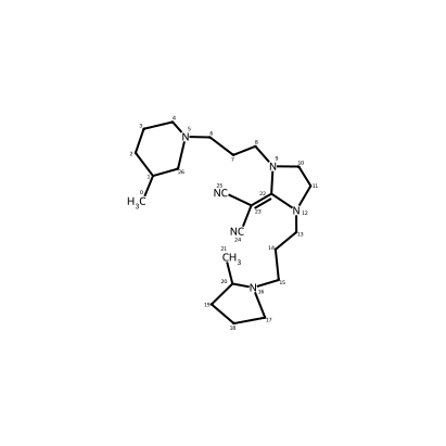 CC1CCCN(CCCN2CCN(CCCN3CCCC3C)C2=C(C#N)C#N)C1